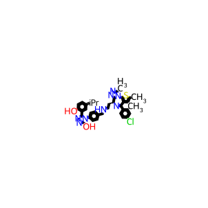 Cc1sc2c(c1C)C(c1ccc(Cl)cc1)=N[C@@H](CCNCc1ccc(-n3c(O)nnc3-c3cc(C(C)C)ccc3O)cc1)c1nnc(C)n1-2